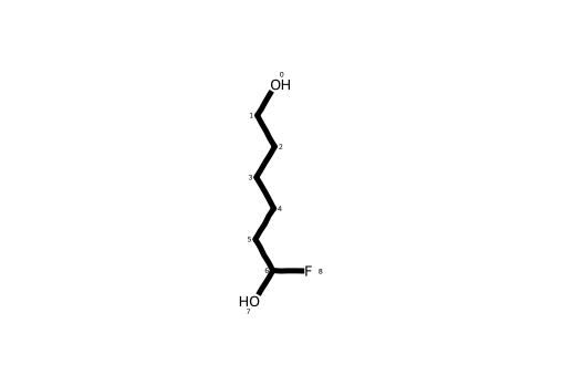 OCCCCCC(O)F